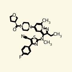 CCc1nn2c(C)cc(N3CCN(C(=O)[C@H]4CCOC4)CC3)cc2c1N(C)c1nc(-c2ccc(F)cc2)c(C#N)s1